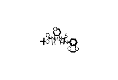 CC(C)(C)OC(=O)N[C@H]1COCC[C@H]1NC(=S)Nc1cccc2c1OCCO2